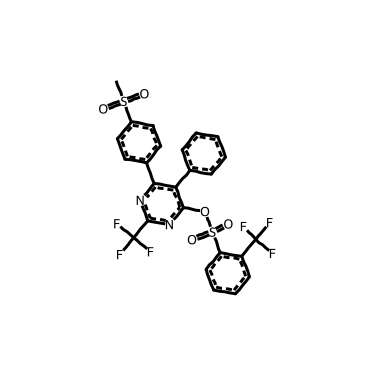 CS(=O)(=O)c1ccc(-c2nc(C(F)(F)F)nc(OS(=O)(=O)c3ccccc3C(F)(F)F)c2-c2ccccc2)cc1